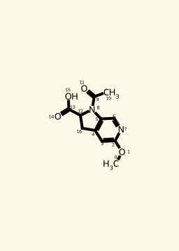 COc1cc2c(cn1)N(C(C)=O)C(C(=O)O)C2